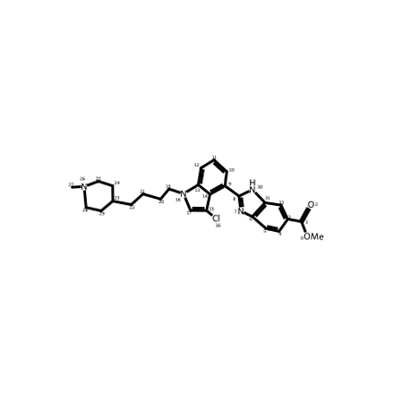 COC(=O)c1ccc2nc(-c3cccc4c3c(Cl)cn4CCCCC3CCN(C)CC3)[nH]c2c1